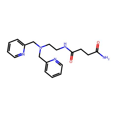 NC(=O)CCC(=O)NCCN(Cc1ccccn1)Cc1ccccn1